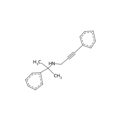 CC(C)(NCC#Cc1ccccc1)c1ccccc1